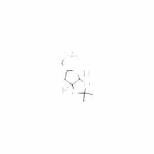 CC(=O)OC[C@@H]1C[C@@H]2OC(C)(C)O[C@@H]2O1